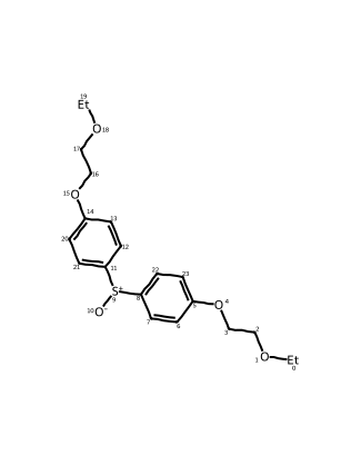 CCOCCOc1ccc([S+]([O-])c2ccc(OCCOCC)cc2)cc1